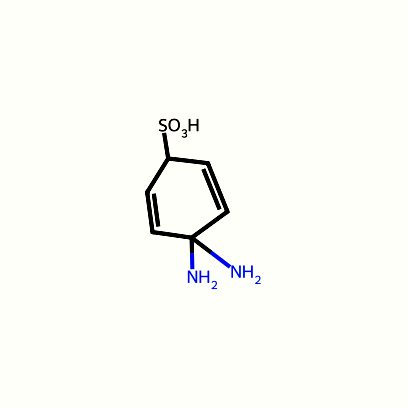 NC1(N)C=CC(S(=O)(=O)O)C=C1